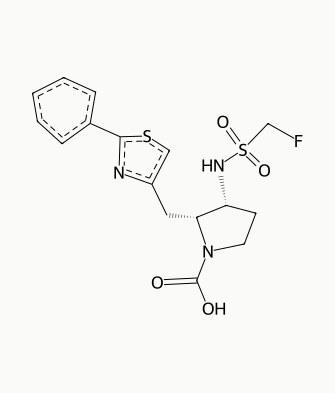 O=C(O)N1CC[C@@H](NS(=O)(=O)CF)[C@H]1Cc1csc(-c2ccccc2)n1